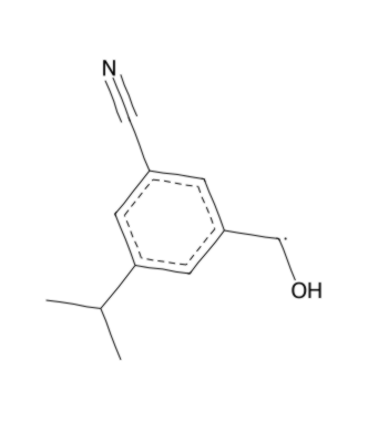 CC(C)c1cc(C#N)cc([CH]O)c1